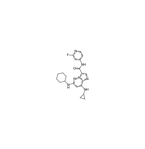 O=C(Nc1ccnc(F)c1)c1cnc2c(NC3CC3)cc(NC3CCCCC3)nn12